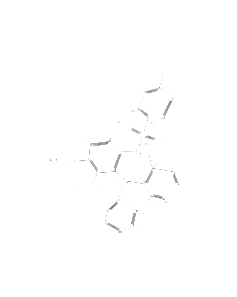 COc1c(C)cc(NS(=O)(=O)c2ccc(C)cc2)c(-n2c3ccccc3c3cccc(C)c32)c1C